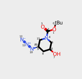 CC(C)(C)OC(=O)N1CC(O)C[C@@H](N=[N+]=[N-])C1